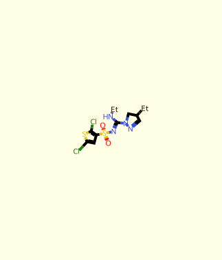 CCN/C(=N\S(=O)(=O)c1cc(Cl)sc1Cl)N1CC(CC)C=N1